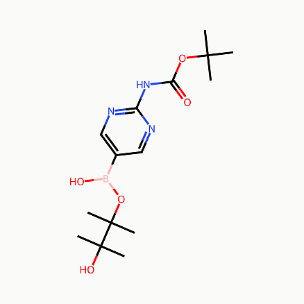 CC(C)(C)OC(=O)Nc1ncc(B(O)OC(C)(C)C(C)(C)O)cn1